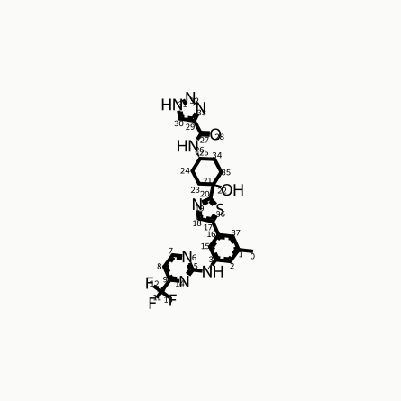 Cc1cc(Nc2nccc(C(F)(F)F)n2)cc(-c2cnc([C@]3(O)CC[C@H](NC(=O)c4c[nH]nn4)CC3)s2)c1